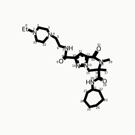 CCN1CCN(CCNC(=O)c2cc3n(n2)CC(C)(C(=O)NC2CCCCCC2)N(C)C3=O)CC1